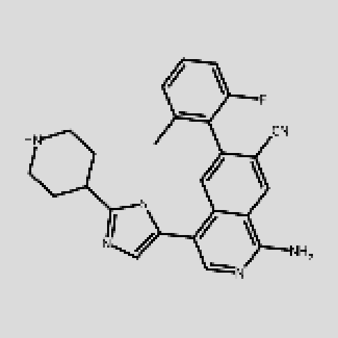 Cc1cccc(F)c1-c1cc2c(-c3cnc(C4CCNCC4)s3)cnc(N)c2cc1C#N